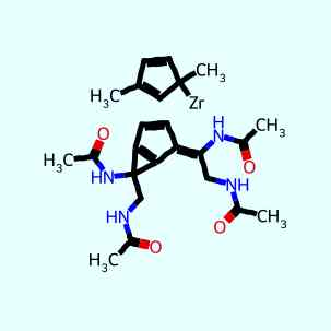 CC(=O)NCC(NC(C)=O)=C1C=CC2=C1C2(CNC(C)=O)NC(C)=O.CC1=C[C](C)([Zr])C=C1